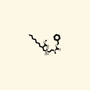 CCCCCCCC(CP(=O)(O)CCN(C)C(=O)OCc1ccccc1)C(=O)OC